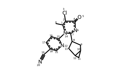 Cc1c(Cl)c(=O)nc(C2CC3CC3C2)n1-c1ccc(C#N)cn1